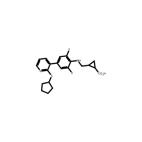 O=C(O)C1CC1CNc1c(F)cc(-c2cccnc2SC2CCCC2)cc1F